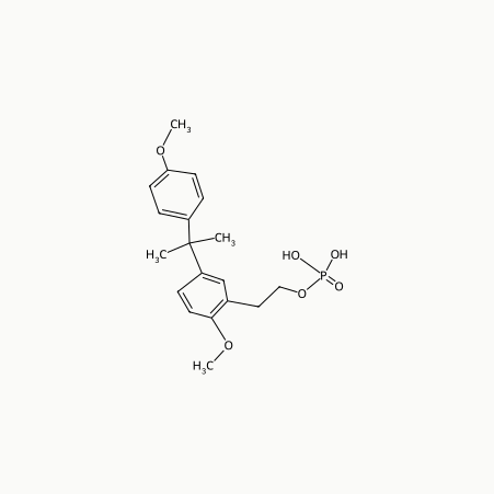 COc1ccc(C(C)(C)c2ccc(OC)c(CCOP(=O)(O)O)c2)cc1